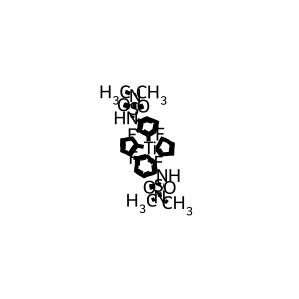 CN(C)S(=O)(=O)Nc1ccc(F)[c]([Ti]([C]2=CC=CC2)([C]2=CC=CC2)[c]2c(F)ccc(NS(=O)(=O)N(C)C)c2F)c1F